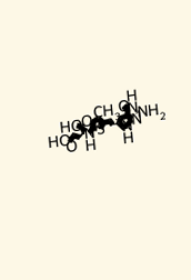 Cc1cc(N[C@@H](CCC(=O)O)C(=O)O)sc1CC[C@H]1CNc2nc(N)[nH]c(=O)c2C1